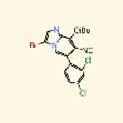 [C-]#[N+]c1c(-c2ccc(Cl)cc2Cl)cn2c(Br)cnc2c1OCC(C)C